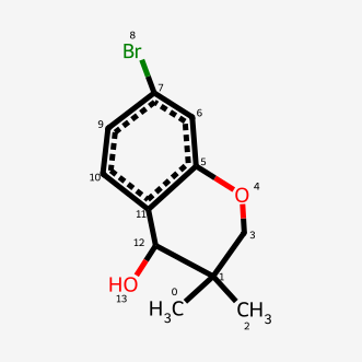 CC1(C)COc2cc(Br)ccc2C1O